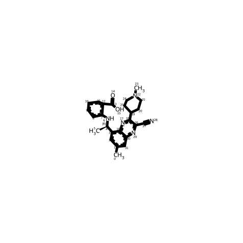 Cc1cc([C@@H](C)Nc2ccccc2C(=O)O)c2nc(C3CCN(C)CC3)c(C#N)nc2c1